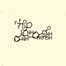 O=C1CC(c2ccc(C[C@H](NC(=O)C3(OC(=O)C(F)(F)F)CCCC3)c3nc4ccccc4[nH]3)cc2)S(O)(O)N1